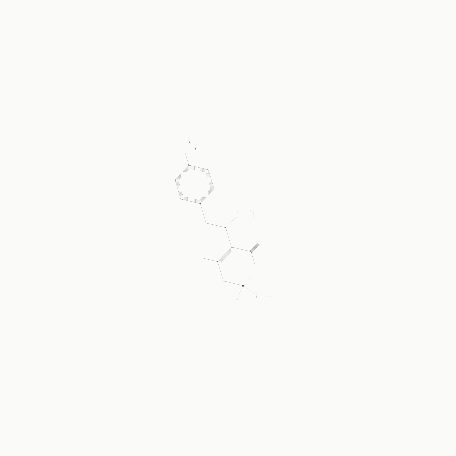 CCCC(Cc1ccc(C#N)cc1)C1=C(C)CC(C)(C)OC1=O